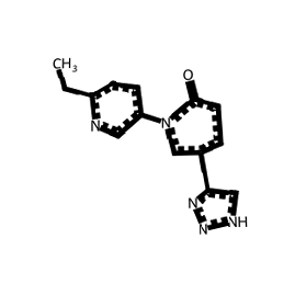 CCc1ccc(-n2cc(-c3c[nH]nn3)ccc2=O)cn1